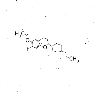 CCCC1CCC(C2CCc3cc(OCC)c(F)cc3O2)CC1